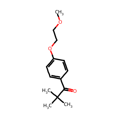 COCCOc1ccc(C(=O)C(C)(C)C)cc1